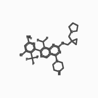 Nc1cc(Cl)c(C(F)(F)F)c(-c2ncc3c(N4CCNCC4)nc(OCC4(CN5CCCC5)CC4)nc3c2C(F)F)n1